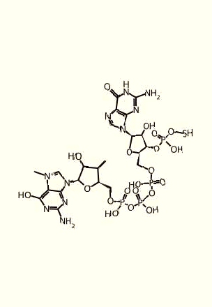 CC1C(O)[C@H](n2c[n+](C)c3c(O)nc(N)nc32)O[C@@H]1COP(=O)(O)OP(=O)(O)OP(=O)(O)OC[C@H]1O[C@@H](n2cnc3c(=O)[nH]c(N)nc32)C(O)[C@H]1OP(=O)(O)OS